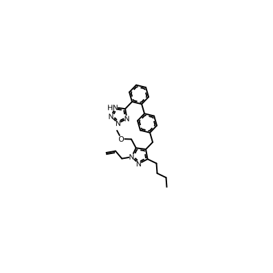 C=CCn1nc(CCCC)c(Cc2ccc(-c3ccccc3-c3nnn[nH]3)cc2)c1COC